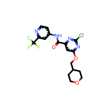 O=C(Nc1ccnc(C(F)(F)F)c1)c1cc(OCC2CCOCC2)nc(Cl)n1